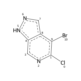 Clc1ncc2[nH]ncc2c1Br